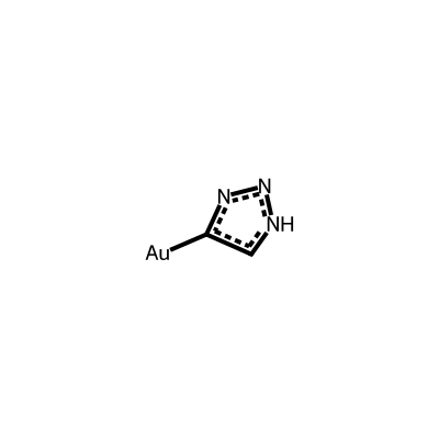 [Au][c]1c[nH]nn1